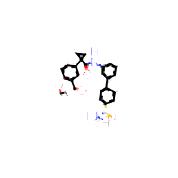 CN[S+]([O-])c1ccc(-c2cccc(NC(=O)C3(c4ccc5c(c4)C(=O)CCO5)CC3)c2)cc1